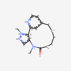 CN1C(=O)CCCCCc2ccnc(c2)-c2c1cnn2C